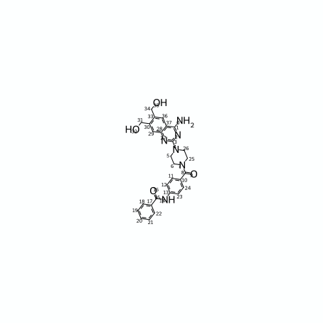 Nc1nc(N2CCN(C(=O)c3ccc(NC(=O)c4ccccc4)cc3)CC2)nc2cc(CO)c(CO)cc12